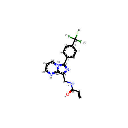 C=CC(=O)NCc1nc(-c2ccc(C(F)(F)F)cc2)n2cccnc12